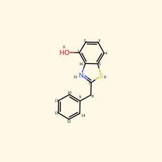 Oc1cccc2sc(Cc3ccccc3)nc12